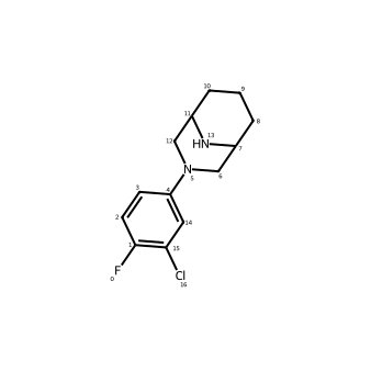 Fc1ccc(N2CC3CCCC(C2)N3)cc1Cl